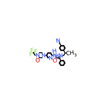 CC(CN[C@H](C(=O)Nc1ccc(N2CCN(CC(F)(F)F)C(=O)C2)cn1)c1ccccc1)c1ccc(C#N)cc1